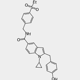 CCS(=O)(=O)c1ccc(CNC(=O)c2ccc3c(c2)cc(Cc2ccc(O)cc2)n3C2CC2)cc1